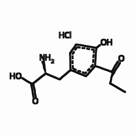 CCC(=O)c1cc(C[C@H](N)C(=O)O)ccc1O.Cl